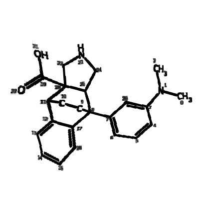 CN(C)c1cccc(C23CCC(c4ccccc42)C2(C(=O)O)CNCC32)c1